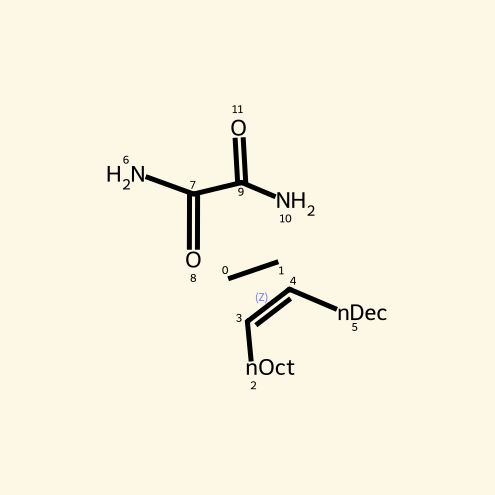 CC.CCCCCCCC/C=C\CCCCCCCCCC.NC(=O)C(N)=O